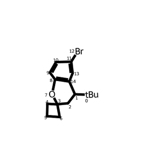 CC(C)(C)C1CC2(CCC2)Oc2ccc(Br)cc21